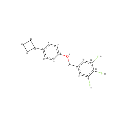 Fc1cc(COc2ccc(C3CCC3)cc2)cc(F)c1F